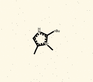 CCCCc1[nH]cc(C)[n+]1C